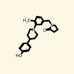 Cc1ccc(CN2CCCC2=O)cc1N1CCC(c2ccc(O)cc2)CC1